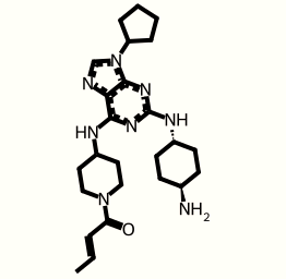 C/C=C/C(=O)N1CCC(Nc2nc(N[C@H]3CC[C@H](N)CC3)nc3c2ncn3C2CCCC2)CC1